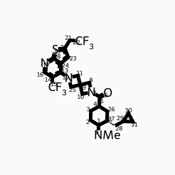 CNC1CCC(C(=O)N2CC3(C2)CN(c2c(C(F)(F)F)cnc4sc(CC(F)(F)F)cc24)C3)C[C@@H]1CC1CC1